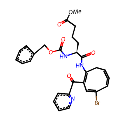 COC(=O)CCC[C@H](NC(=O)OCc1ccccc1)C(=O)N/C1=C(C(=O)c2ccccn2)/C=C(/Br)C=C=CC1